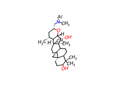 CC(=O)N(C)C[C@H]1C[C@@H](C)[C@H]2[C@H](O1)[C@H](O)[C@@]1(C)C3CCC4C(C)(C)[C@@H](O)CC[C@@]45C[C@@]35CC[C@]21C